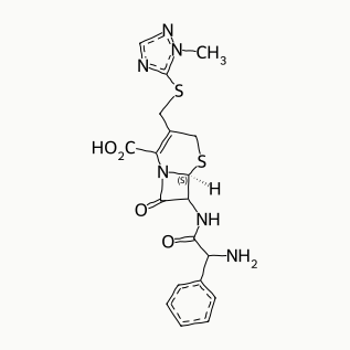 Cn1ncnc1SCC1=C(C(=O)O)N2C(=O)C(NC(=O)C(N)c3ccccc3)[C@@H]2SC1